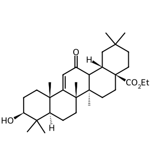 CCOC(=O)[C@]12CCC(C)(C)C[C@H]1C1C(=O)C=C3[C@@]4(C)CC[C@H](O)C(C)(C)[C@@H]4CC[C@@]3(C)[C@]1(C)CC2